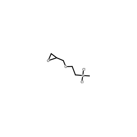 C[Si](Cl)(Cl)CCOCC1CO1